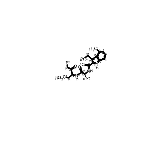 Cc1cccc2[nH]c(C(=O)N[C@H](C(=O)NC(CC(=O)O)C(=O)CF)C(C)C)c(CC(C)C)c12